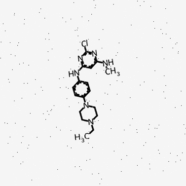 CCN1CCN(c2ccc(Nc3cc(NC)nc(Cl)n3)cc2)CC1